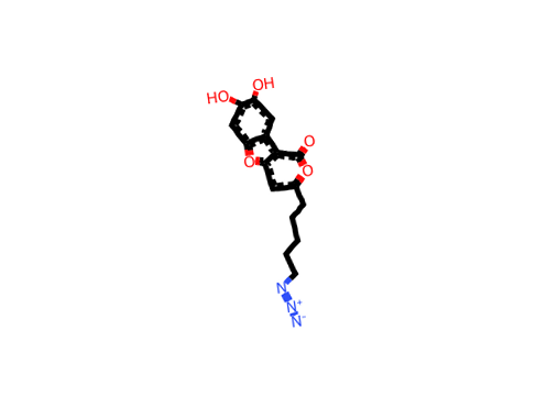 [N-]=[N+]=NCCCCCc1cc2oc3cc(O)c(O)cc3c2c(=O)o1